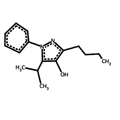 CCCCc1nn(-c2ccccc2)c(C(C)C)c1O